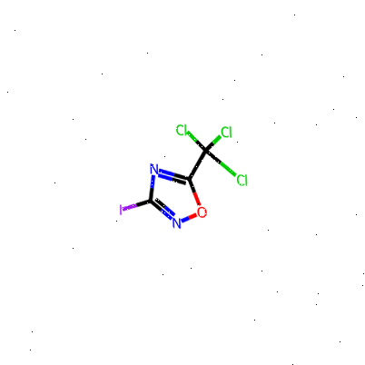 ClC(Cl)(Cl)c1nc(I)no1